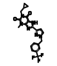 Cn1c(=O)n(CC2CC2)c(=O)c2[nH]c(-c3ccn(Cc4cccc(C(F)(F)F)c4)n3)nc21